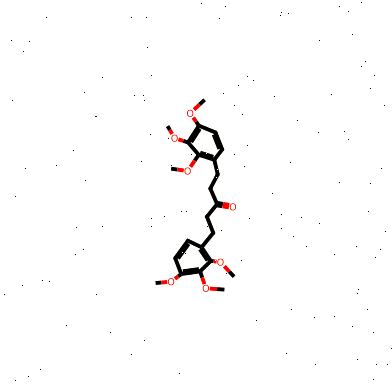 COc1ccc(CCC(=O)CCc2ccc(OC)c(OC)c2OC)c(OC)c1OC